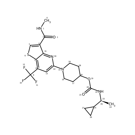 CNC(=O)c1csc2c(C(F)(F)F)cc(N3CCC(OC(=O)N[C@@H](C)C4CC4)CC3)nc12